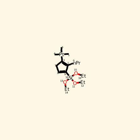 CCCC1=[C]([Pt]([CH3])([CH3])[CH3])CC=C1[Si](OCC)(OCC)OCC